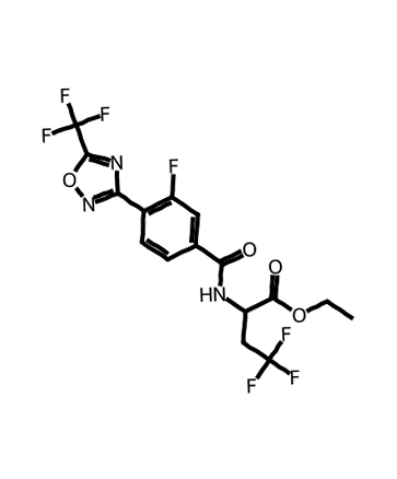 CCOC(=O)C(CC(F)(F)F)NC(=O)c1ccc(-c2noc(C(F)(F)F)n2)c(F)c1